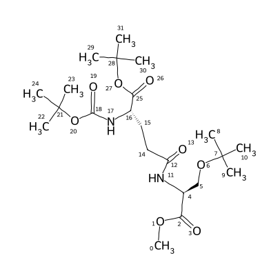 COC(=O)[C@H](COC(C)(C)C)NC(=O)CC[C@H](NC(=O)OC(C)(C)C)C(=O)OC(C)(C)C